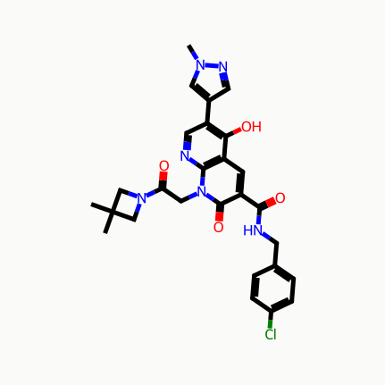 Cn1cc(-c2cnc3c(cc(C(=O)NCc4ccc(Cl)cc4)c(=O)n3CC(=O)N3CC(C)(C)C3)c2O)cn1